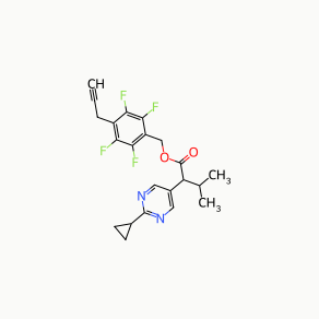 C#CCc1c(F)c(F)c(COC(=O)C(c2cnc(C3CC3)nc2)C(C)C)c(F)c1F